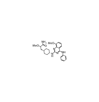 COc1cccc2c(Nc3ccccc3)nc(N[C@H]3CC[C@H](CC(OC)C(N)=O)CC3)nc12